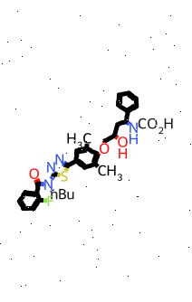 CCCCN(C(=O)c1ccccc1F)c1nnc(-c2cc(C)c(OCC(O)C[C](NC(=O)O)c3ccccc3)c(C)c2)s1